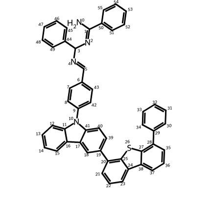 N/C(=N\C(/N=C/c1ccc(-n2c3ccccc3c3cc(-c4cccc5c4sc4c(-c6ccccc6)cccc45)ccc32)cc1)c1ccccc1)c1ccccc1